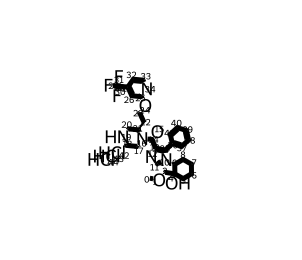 COC[C@]1(O)CCCC[C@H]1n1cnc(C(=O)N2CCNC[C@H]2CCOc2cc(C(F)(F)F)ccn2)c1-c1ccccc1.Cl.Cl.Cl